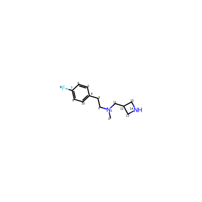 CN(CCc1ccc(F)cc1)CC1CNC1